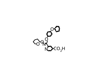 O=C(O)c1ccnc(/C(COc2ccc(Oc3ccccc3)cc2)=N/OC2CCCCO2)c1